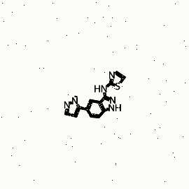 Cn1nccc1-c1ccc2[nH]nc(Nc3nccs3)c2c1